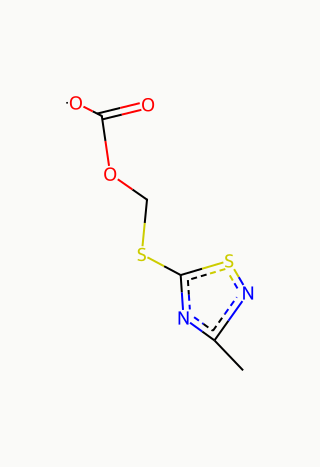 Cc1nsc(SCOC([O])=O)n1